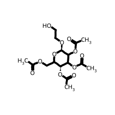 CC(=O)OCC1O[C@@H](OCCO)C(OC(C)=O)C(OC(C)=O)[C@@H]1OC(C)=O